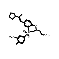 COc1cc(S(=O)(=O)N2C[C@H](CCC(=O)O)Oc3ccc(/C=C(\C)C4CCCC4)cc32)ccc1F